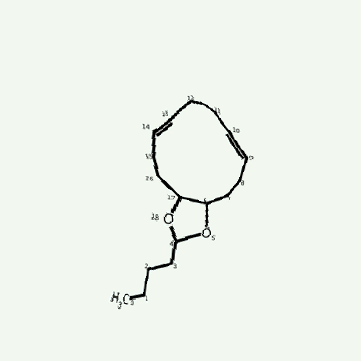 CCCCC1OC2CC/C=C\CC/C=C\CCC2O1